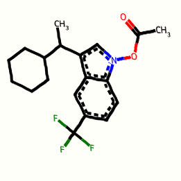 CC(=O)On1cc(C(C)C2CCCCC2)c2cc(C(F)(F)F)ccc21